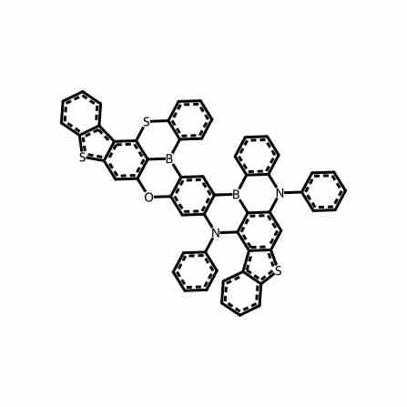 c1ccc(N2c3ccccc3B3c4cc5c(cc4N(c4ccccc4)c4c3c2cc2sc3ccccc3c42)Oc2cc3sc4ccccc4c3c3c2B5c2ccccc2S3)cc1